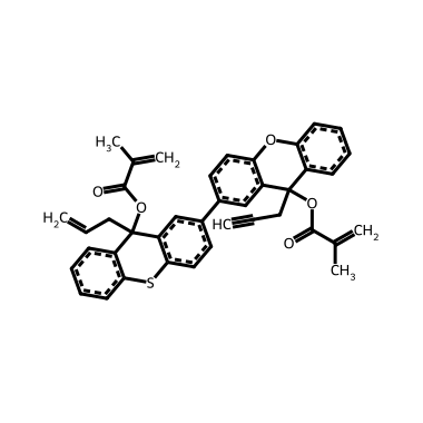 C#CCC1(OC(=O)C(=C)C)c2ccccc2Oc2ccc(-c3ccc4c(c3)C(CC=C)(OC(=O)C(=C)C)c3ccccc3S4)cc21